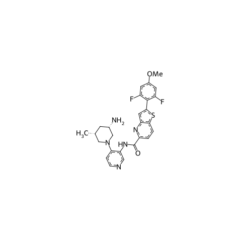 COc1cc(F)c(-c2cc3nc(C(=O)Nc4cnccc4N4C[C@H](C)C[C@H](N)C4)ccc3s2)c(F)c1